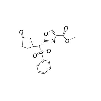 COC(=O)c1coc(C(C2CCC(=O)C2)S(=O)(=O)c2ccccc2)n1